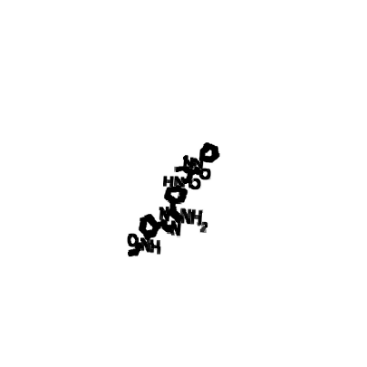 C=CC(=O)Nc1cccc(-c2cnc(N)c(-c3ccc(NC(=O)c4c(C)n(C)n(-c5ccccc5)c4=O)cc3)n2)c1